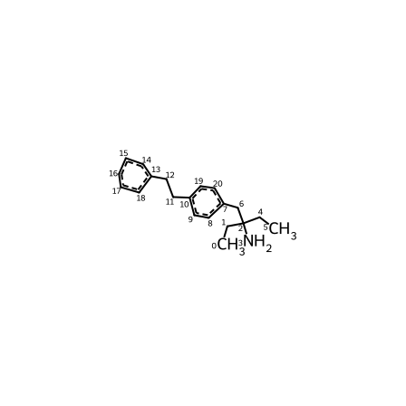 CCC(N)(CC)Cc1ccc(CCc2ccccc2)cc1